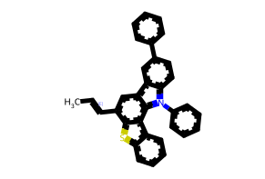 C/C=C/c1cc2c3cc(-c4ccccc4)ccc3n(-c3ccccc3)c2c2c1sc1ccccc12